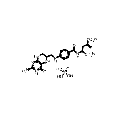 C=C(CC(NC(=O)c1ccc(NCC2CNc3nc(N)[nH]c(=O)c3N2)cc1)C(=O)O)C(=O)O.O=P(O)(O)O